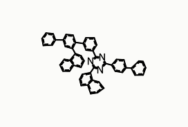 c1ccc(-c2ccc(-c3nc(-c4cccc(-c5ccc(-c6ccccc6)cc5-c5cccc6ccccc56)c4)nc(-c4cccc5ccccc45)n3)cc2)cc1